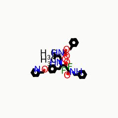 CC(C)[C@H](NC(=O)OCc1ccccc1)C(=O)NC(Cc1ccc(OCc2ccccn2)cc1)C(=O)C(F)(F)C(=O)NCc1ccccc1